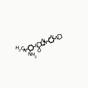 C=Nc1ccc(N2Cc3nn(-c4ccc(N5CCCC5)nc4)cc3C2=O)cc1N